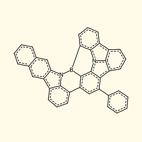 c1ccc(-c2cc3c4c5c2c2cccc6c7cccc(c7n5c62)B4n2c4cc5ccccc5cc4c4cccc-3c42)cc1